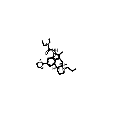 CCCN1CCC[C@@H]2c3cc(C4SCCS4)cc4c3c(c(C)n4NC(=O)N(CC)CC)C[C@H]21